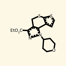 CCOC(=O)c1nn(C2CCOCC2)c2c1CSc1sccc1-2